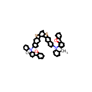 Cc1ccccc1N(c1ccc2cc3c(cc2c1)sc1ccc2sc4cc5cc(N(c6ccccc6C)c6cccc7c6oc6ccccc67)ccc5cc4c2c13)c1cccc2c1oc1ccccc12